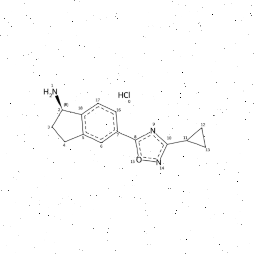 Cl.N[C@@H]1CCc2cc(-c3nc(C4CC4)no3)ccc21